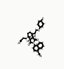 N#CCC[C@@]12CCC(CCOc3ccc(F)cc3)(O1)[C@@H]1C(=O)N(c3ccc(C#N)c4ccccc34)C(=O)[C@@H]12